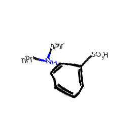 CCCNCCC.O=S(=O)(O)c1ccccc1